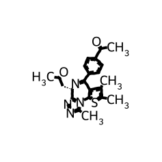 CC(=O)C[C@@H]1N=C(c2ccc(C(C)=O)cc2)c2c(sc(C)c2C)-n2c(C)nnc21